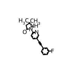 CC1(C)CC(=O)N(c2ccc(C#Cc3cccc(F)c3)cn2)N1